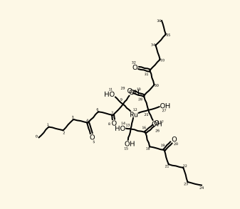 CCCCC(=O)CC(=O)[C](O)(O)[Ru]([C](O)(O)C(=O)CC(=O)CCCC)[C](O)(O)C(=O)CC(=O)CCCC